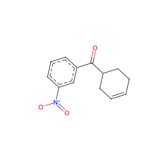 O=C(c1cccc([N+](=O)[O-])c1)C1CC=CCC1